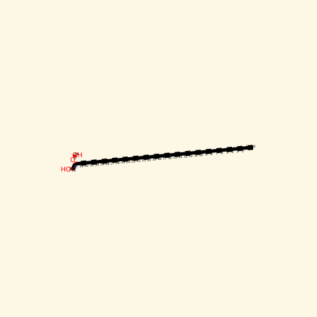 C#CC#CC#CC#CC#CC#CC#CC#CC#CC#CC#CC#CC#CC#CC#CC#CC#C/C(=C/O)OO